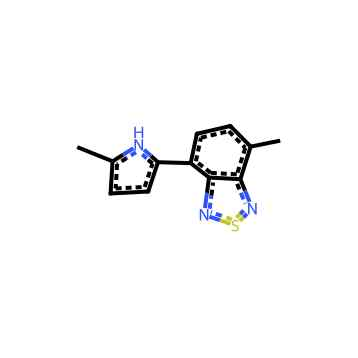 Cc1ccc(-c2ccc(C)c3nsnc23)[nH]1